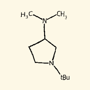 CN(C)C1CCN(C(C)(C)C)C1